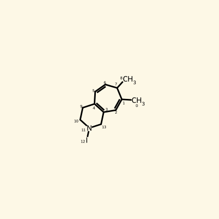 CC1=CC2=C(C=CC1C)CCN(I)C2